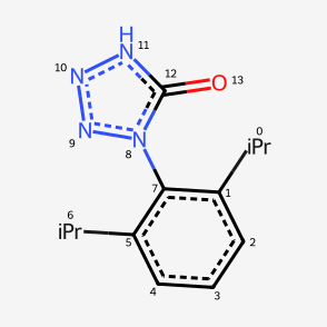 CC(C)c1cccc(C(C)C)c1-n1nn[nH]c1=O